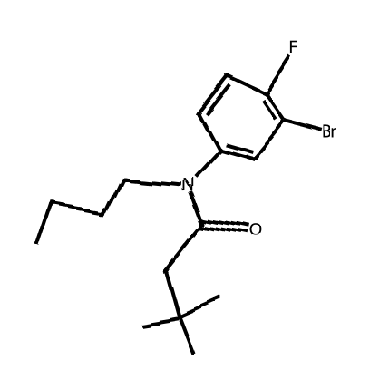 CCCCN(C(=O)CC(C)(C)C)c1ccc(F)c(Br)c1